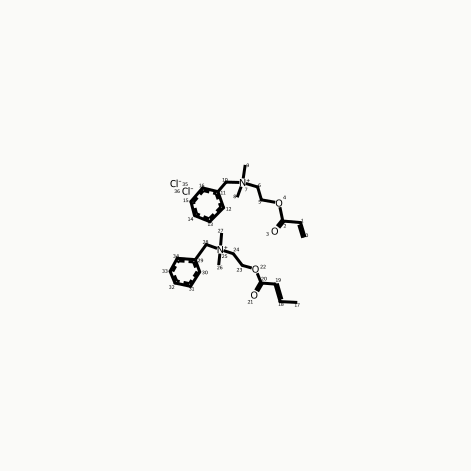 C=CC(=O)OCC[N+](C)(C)Cc1ccccc1.CC=CC(=O)OCC[N+](C)(C)Cc1ccccc1.[Cl-].[Cl-]